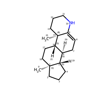 C[C@@]12CCC[C@H]1[C@@H]1CC=C3NCCC[C@]3(C)[C@H]1CC2